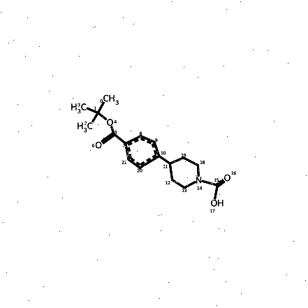 CC(C)(C)OC(=O)c1ccc(C2CCN(C(=O)O)CC2)cc1